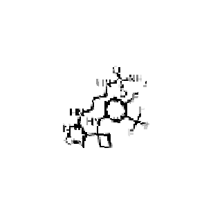 NS(=O)(=O)NCCCNc1nonc1C1(Nc2ccc(F)c(C(F)(F)F)c2)C=CC1